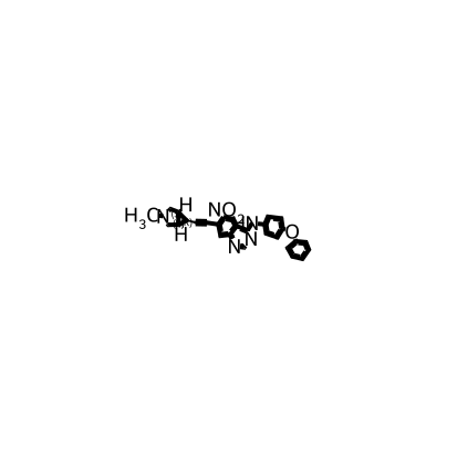 CN1C[C@@H]2[C@H](C#Cc3cc4ncnc(Nc5ccc(Oc6ccccc6)cc5)c4cc3[N+](=O)[O-])[C@@H]2C1